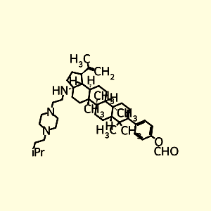 C=C(C)[C@@H]1CC[C@]2(NCCN3CCN(CCC(C)C)CC3)CC[C@]3(C)[C@H](CC[C@@H]4[C@@]5(C)CC=C(c6ccc(OC=O)cc6)C(C)(C)[C@@H]5CC[C@]43C)[C@@H]12